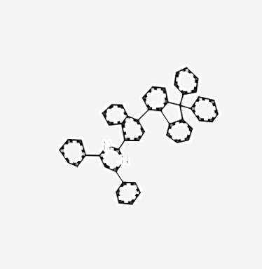 c1ccc(-c2cc(-c3ccccc3)nc(-c3ccc(-c4cccc5c4-c4ccccc4C5(c4ccccc4)c4ccccc4)c4ccccc34)n2)cc1